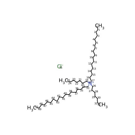 CCCCCCCCCCCCCCCCCC[N+](CCCCCCC)(CCCCCCC)CCCCCCCCCCCCCCCCCC.[Cl-]